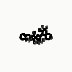 CC(C)[C@]1(C(=O)OCc2ccccc2)C=CC(N(C(=O)C(F)(F)F)C2CCOC[C@@H]2C)C1